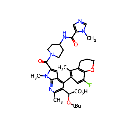 Cc1nc2c(cc(C(=O)N3CCC(NC(=O)c4cncn4C)CC3)n2C)c(-c2cc(F)c3c(c2C)CCCO3)c1[C@H](OC(C)(C)C)C(=O)O